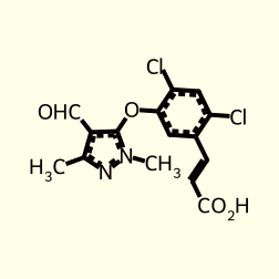 Cc1nn(C)c(Oc2cc(C=CC(=O)O)c(Cl)cc2Cl)c1C=O